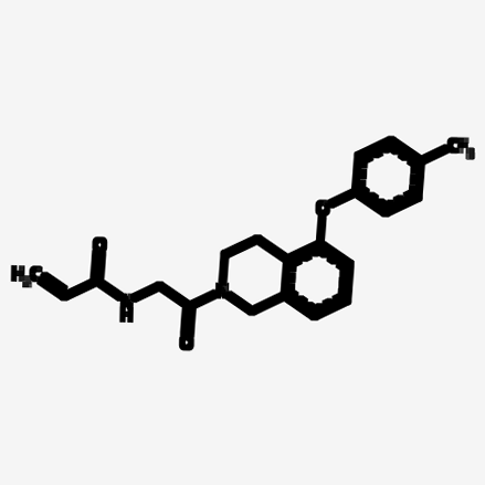 C=CC(=O)NCC(=O)N1CCc2c(cccc2Oc2ccc(C(F)(F)F)cc2)C1